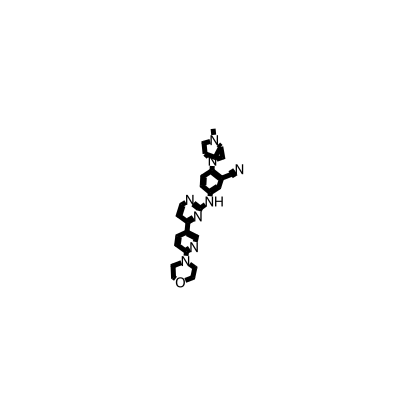 CN1CC2CC1CN2c1ccc(Nc2nccc(-c3ccc(N4CCOCC4)nc3)n2)cc1C#N